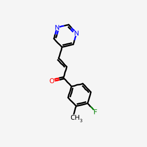 Cc1cc(C(=O)C=Cc2cncnc2)ccc1F